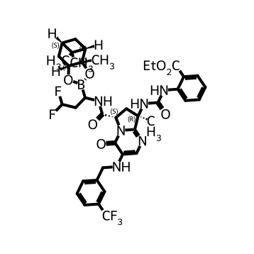 CCOC(=O)c1ccccc1NC(=O)N[C@]1(C)C[C@@H](C(=O)NC(CC(F)F)B2O[C@@H]3C[C@@H]4C[C@@H](C4(C)C)[C@]3(C)O2)n2c1ncc(NCc1cccc(C(F)(F)F)c1)c2=O